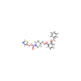 O=C(OCc1cncs1)N1CCC(CCOc2ccccc2OCc2ccccc2)CC1